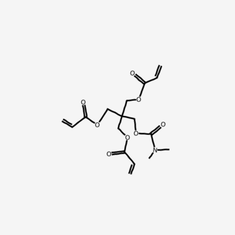 C=CC(=O)OCC(COC(=O)C=C)(COC(=O)C=C)COC(=O)N(C)C